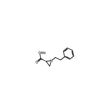 COC(=O)[C@@H]1CN1CCc1ccccc1